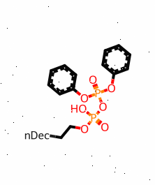 CCCCCCCCCCCCOP(=O)(O)OP(=O)(Oc1ccccc1)Oc1ccccc1